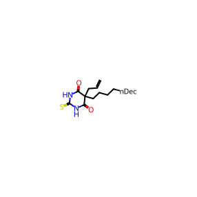 C=CCC1(CCCCCCCCCCCCCC)C(=O)NC(=S)NC1=O